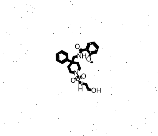 COc1ccccc1C(=O)NCC1(c2ccccc2)CCN(S(=O)(=O)NCCO)CC1